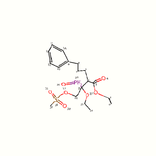 CCOC(=O)C(CCCc1ccccc1)C(COS(C)(=O)=O)(OCC)[PH2]=O